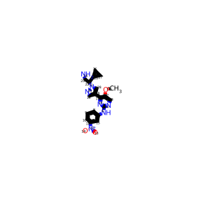 COc1cnc(Nc2cccc([N+](=O)[O-])c2)nc1-c1cnn(C(CN)C2CC2)c1